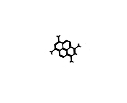 CC(C)c1cc(C(C)C)c2ccc3c(C(C)C)c(S)c(C(C)C)c4ccc1c2c43